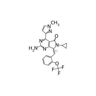 Cn1ccc(-c2nc(N)nc3c2C(=O)N(C2CC2)/C3=C/c2ccccc2OC(F)(F)F)n1